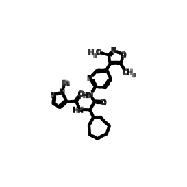 CCn1nccc1C(=O)NC(C(=O)Nc1ccc(-c2c(C)noc2C)cn1)C1CCCCCC1